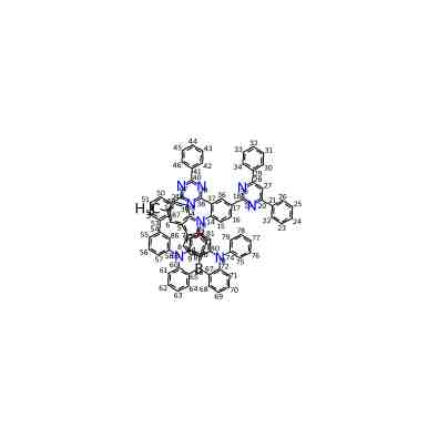 Cc1ccc2c(c1)c1ccccc1n2-c1ccc(-c2nc(-c3ccccc3)cc(-c3ccccc3)n2)cc1-c1nc(-c2ccccc2)nc(-c2cccc(-c3cccc(N4c5ccccc5B5c6ccccc6N(c6ccccc6)c6cccc4c65)c3)c2)n1